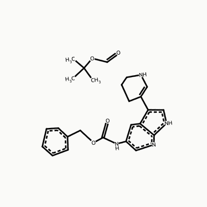 CC(C)(C)OC=O.O=C(Nc1cnc2[nH]cc(C3=CNCCC3)c2c1)OCc1ccccc1